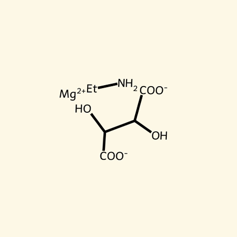 CCN.O=C([O-])C(O)C(O)C(=O)[O-].[Mg+2]